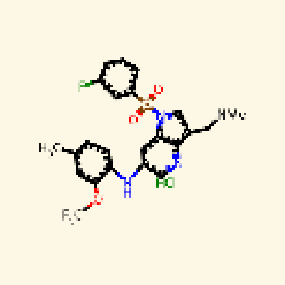 CNCc1cn(S(=O)(=O)c2cccc(F)c2)c2cc(Nc3ccc(C)cc3OC(F)(F)F)cnc12.Cl